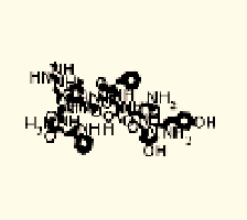 CNC(=N)NCCC[C@H](NC(=O)[C@H](CC(C)C)NC(=O)NNC(=O)[C@H](Cc1ccccc1)NC(=O)[C@@H](NC(=O)[C@H](CC(N)=O)NC(=O)[C@@H]1C[C@@H](O)CN1C(=O)[C@@H](N)Cc1ccc(O)cc1)[C@@H](C)O)C(=O)N[C@@H](Cc1c[nH]c2ccccc12)C(N)=O